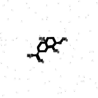 C=C(C)[C@@H]1CC[C@@]2(C)CC[C@@H](OC)C(C)=C2C1